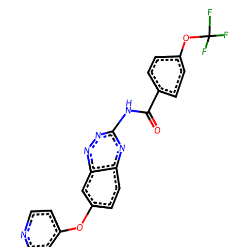 O=C(Nc1nnc2cc(Oc3ccncc3)ccc2n1)c1ccc(OC(F)(F)F)cc1